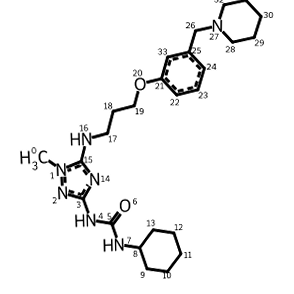 Cn1nc(NC(=O)NC2CCCCC2)nc1NCCCOc1cccc(CN2CCCCC2)c1